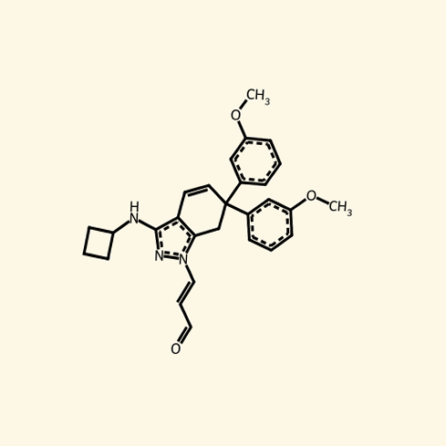 COc1cccc(C2(c3cccc(OC)c3)C=Cc3c(NC4CCC4)nn(C=CC=O)c3C2)c1